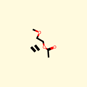 C=C.C=C.COCCOC(C)=O